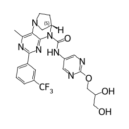 Cc1nc(-c2cccc(C(F)(F)F)c2)nc2c1N1CC[C@@H](C1)N2C(=O)Nc1cnc(OCC(O)CO)nc1